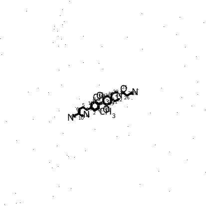 Cc1cc(C2CC=C(C#N)C=N2)cc(C)c1C1C(=O)CC2(CCN(C(=O)CC#N)CC2)CC1=O